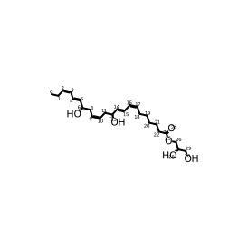 CC/C=C\C=C\C(O)C/C=C\CC(O)/C=C/C=C\CCCCCC(=O)OCC(O)CO